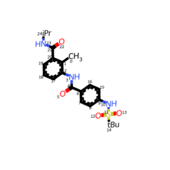 Cc1c(NC(=O)c2ccc(NS(=O)(=O)C(C)(C)C)cc2)cccc1C(=O)NC(C)C